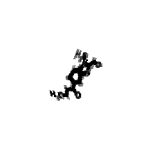 CCCC(=O)c1ccc2c(c1)nc(C=O)n2C